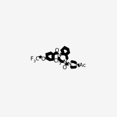 CC(=O)N1CCN(C(=O)N2Cc3ccccc3N(C(=O)c3ccc(OCC(F)(F)F)cc3Cl)C[C@H]2C)CC1